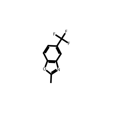 Cc1nc2cc(C(F)(F)F)ccc2o1